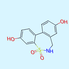 O=S1(=O)NCc2cc(O)ccc2-c2ccc(O)cc21